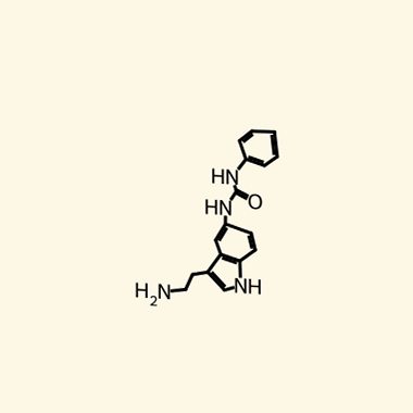 NCCc1c[nH]c2ccc(NC(=O)Nc3ccccc3)cc12